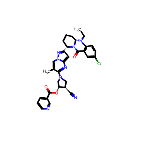 CCNc1ccc(Cl)cc1C(=O)N1CCCC[C@H]1c1cc2nc(N3C[C@@H](C#N)[C@@H](OC(=O)c4cccnc4)C3)c(C)cn2n1